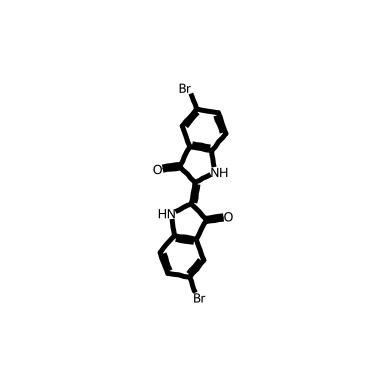 O=C1/C(=C2\Nc3ccc(Br)cc3C2=O)Nc2ccc(Br)cc21